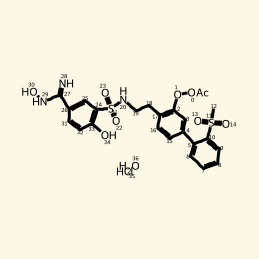 CC(=O)OOc1cc(-c2ccccc2S(C)(=O)=O)ccc1CCNS(=O)(=O)c1cc(C(=N)NO)ccc1O.Cl.O